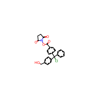 O=C(ON1C(=O)CCC1=O)c1ccc(C(Cl)(c2ccccc2)c2ccc(CO)cc2)cc1